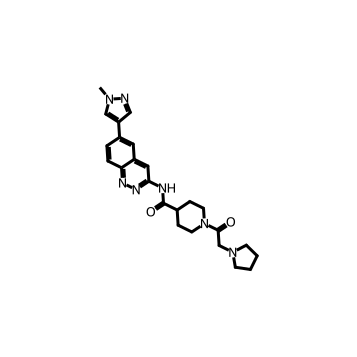 Cn1cc(-c2ccc3nnc(NC(=O)C4CCN(C(=O)CN5CCCC5)CC4)cc3c2)cn1